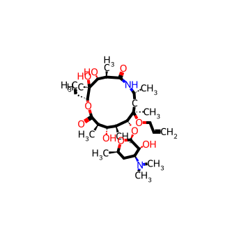 C=CCO[C@]1(C)C[C@@H](C)NC(=O)[C@H](C)[C@@H](O)[C@](C)(O)[C@@H](CC)OC(=O)[C@H](C)[C@@H](O)[C@H](C)[C@H]1O[C@@H]1O[C@H](C)C[C@H](N(C)C)[C@H]1O